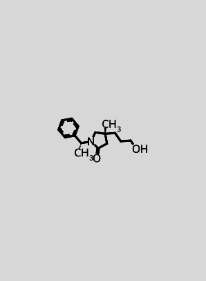 C[C@H](c1ccccc1)N1C[C@](C)(CCCO)CC1=O